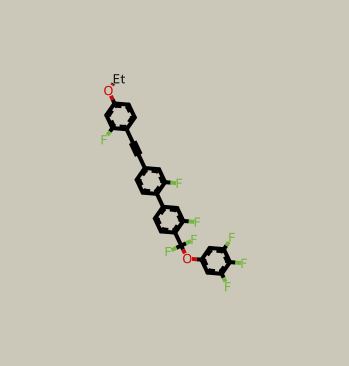 CCOc1ccc(C#Cc2ccc(-c3ccc(C(F)(F)Oc4cc(F)c(F)c(F)c4)c(F)c3)c(F)c2)c(F)c1